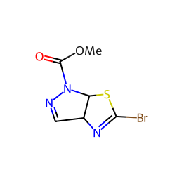 COC(=O)N1N=CC2N=C(Br)SC21